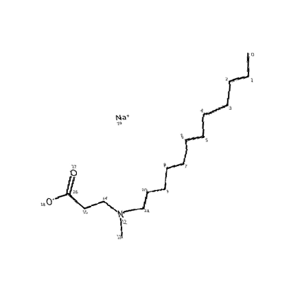 CCCCCCCCCCCCN(C)CCC(=O)[O-].[Na+]